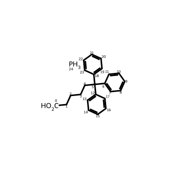 O=C(O)CCCCC(c1ccccc1)(c1ccccc1)c1ccccc1.P